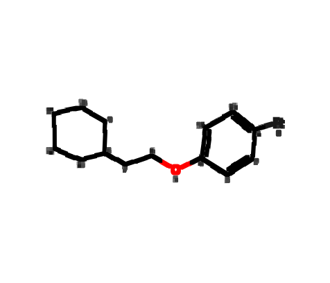 CCc1ccc(OCCC2CCCCC2)cc1